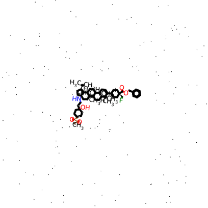 C=C(C)[C@@H]1CC[C@]2(NCCC3(O)CCC(S(C)(=O)=O)CC3)CC[C@]3(C)[C@H](CC[C@@H]4[C@@]5(C)CC=C(C6=CC[C@@](CF)(C(=O)OCc7ccccc7)CC6)C(C)(C)[C@@H]5CC[C@]43C)[C@@H]12